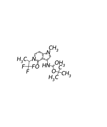 CC(n1ccc2c(c(NC(=O)OC(C)(C)C)cn2C)c1=O)C(F)(F)F